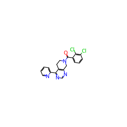 O=C(c1cccc(Cl)c1Cl)N1CCc2c(ncnc2-c2ccccn2)C1